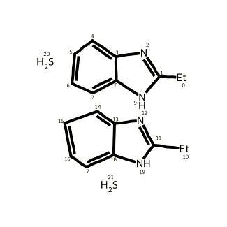 CCc1nc2ccccc2[nH]1.CCc1nc2ccccc2[nH]1.S.S